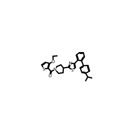 CCOc1ccsc1C(=O)N1CCC(c2nc(-c3ccccc3-c3ccc(C(C)C)cc3)cs2)CC1